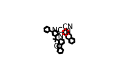 CC1(C)c2cc(-c3ccccc3)ccc2N(c2c(C#N)c(C#N)nc3c2C2c4ccccc4C3c3ccccc32)c2ccc3c(oc4ccccc43)c21